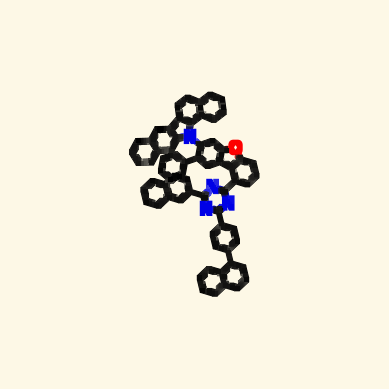 c1ccc(-c2cc3c(cc2-n2c4cc5ccccc5cc4c4ccc5ccccc5c42)oc2cccc(-c4nc(-c5ccc(-c6cccc7ccccc67)cc5)nc(-c5ccc6ccccc6c5)n4)c23)cc1